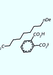 CCCCCCCCCCCCCCCCCC(=O)O.O=C(O)c1ccccc1C(=O)O